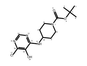 CC(C)(C)OC(=O)N1CCC(Nc2ncnc(Cl)c2O)CC1